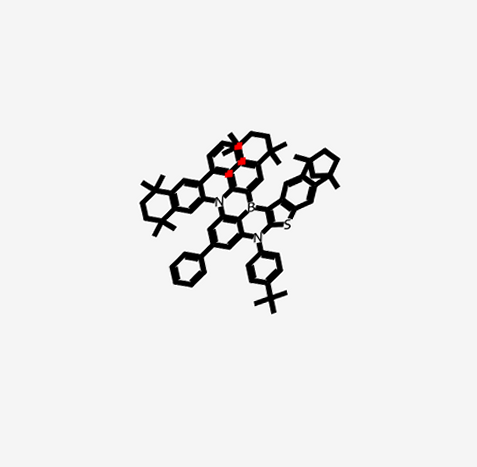 CC(C)(C)c1ccc(N2c3cc(-c4ccccc4)cc4c3B(c3cc5c(cc3N4c3cc4c(cc3-c3ccccc3)C(C)(C)CCC4(C)C)C(C)(C)CCC5(C)C)c3c2sc2cc4c(cc32)C2(C)CCC4(C)C2)cc1